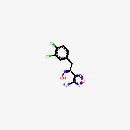 Nc1nonc1C(Cc1ccc(Cl)c(Cl)c1)=NO